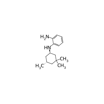 C[C@@H]1C[C@@H](Nc2ccccc2N)CC(C)(C)C1